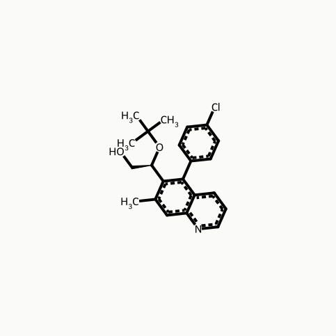 Cc1cc2ncccc2c(-c2ccc(Cl)cc2)c1[C@@H](CO)OC(C)(C)C